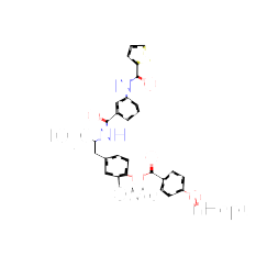 CCCCCCCOc1ccc(C(=O)Oc2ccc(CC(NC(=O)c3cccc(NC(=O)c4cccs4)c3)C(=O)O)cc2OC)cc1